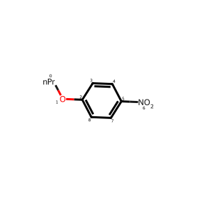 C[CH]COc1ccc([N+](=O)[O-])cc1